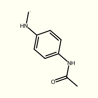 [CH2]Nc1ccc(NC(C)=O)cc1